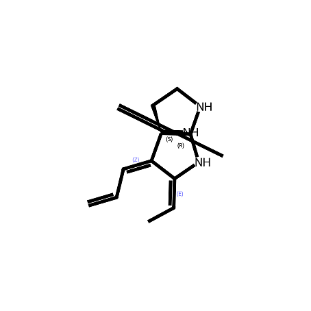 C=C/C=C1\C(=C/C)N[C@@]23CNCC(=C)[C@@]12CCN3